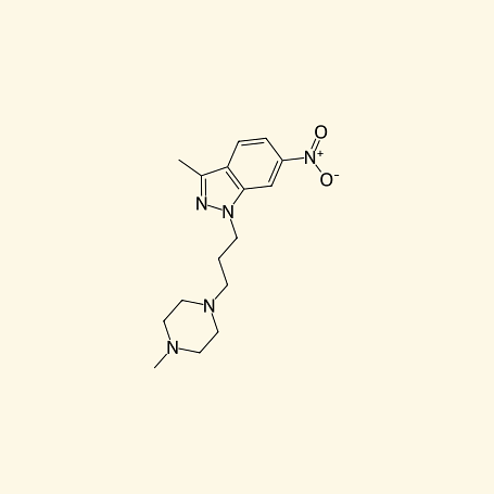 Cc1nn(CCCN2CCN(C)CC2)c2cc([N+](=O)[O-])ccc12